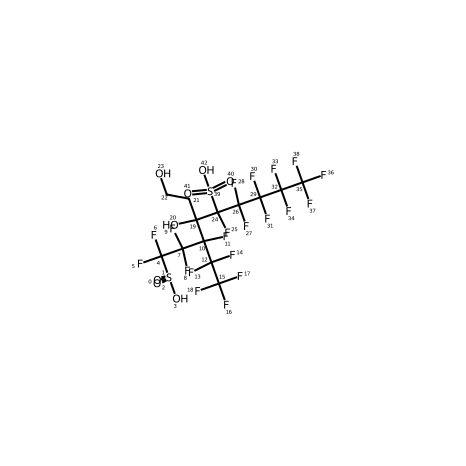 O=S(=O)(O)C(F)(F)C(F)(F)C(F)(C(F)(F)C(F)(F)F)C(O)(CCO)C(F)(C(F)(F)C(F)(F)C(F)(F)C(F)(F)F)S(=O)(=O)O